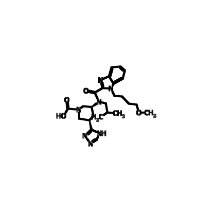 COCCCCn1c(C(=O)N(CC(C)C)[C@H]2C[C@@H](c3nnc[nH]3)CN(C(=O)O)C2)nc2ccccc21